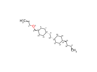 C=CCOC[C@H]1CC[C@H](CC[C@H]2CC[C@H](CCCC)CC2)CC1